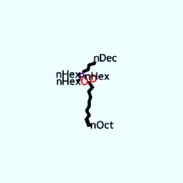 CCCCCCCC/C=C\CCCCCCCC(=O)OP(CCCCCC)(CCCCCC)(CCCCCC)CCCCCCCCCCCCCC